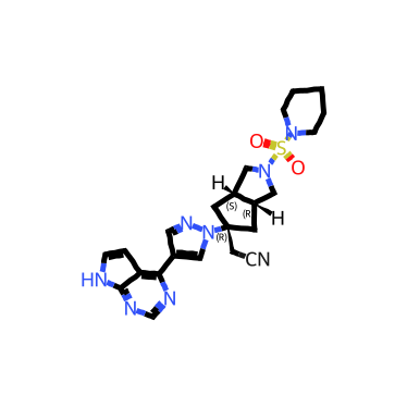 N#CC[C@]1(n2cc(-c3ncnc4[nH]ccc34)cn2)C[C@H]2CN(S(=O)(=O)N3CCCCC3)C[C@H]2C1